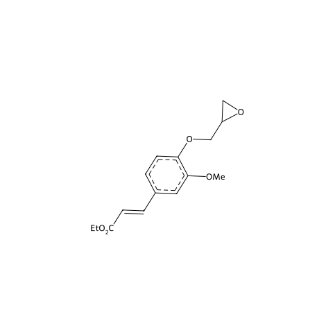 CCOC(=O)/C=C/c1ccc(OCC2CO2)c(OC)c1